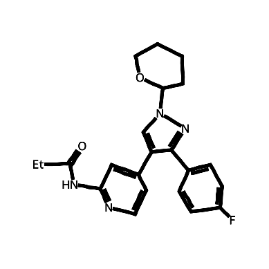 CCC(=O)Nc1cc(-c2cn(C3CCCCO3)nc2-c2ccc(F)cc2)ccn1